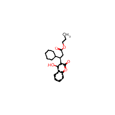 CCCOC(=O)CC(c1c(O)c2ccccc2oc1=O)C1CCCCC1